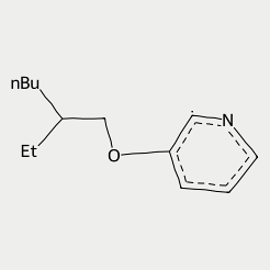 CCCCC(CC)COc1[c]nccc1